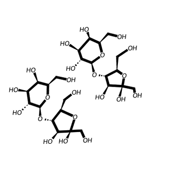 OC[C@H]1O[C@@H](O[C@@H]2[C@@H](CO)O[C@](O)(CO)[C@H]2O)[C@H](O)[C@@H](O)[C@H]1O.OC[C@H]1O[C@@H](O[C@@H]2[C@@H](CO)O[C@](O)(CO)[C@H]2O)[C@H](O)[C@@H](O)[C@H]1O